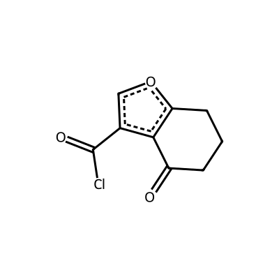 O=C(Cl)c1coc2c1C(=O)CCC2